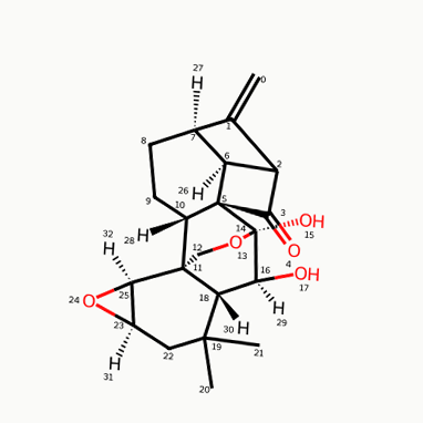 C=C1C2C(=O)[C@]34[C@H]2[C@H]1CC[C@H]3[C@@]12CO[C@]4(O)[C@@H](O)[C@@H]1C(C)(C)C[C@H]1O[C@H]12